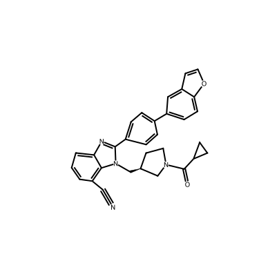 N#Cc1cccc2nc(-c3ccc(-c4ccc5occc5c4)cc3)n(C[C@H]3CCN(C(=O)C4CC4)C3)c12